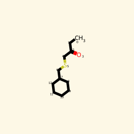 CCC(=O)CSCC1CCCCC1